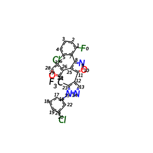 Fc1cccc(Cl)c1-c1noc(-c2cnn(-c3cccc(Cl)c3)c2C(F)(F)F)c1-c1ccoc1